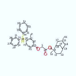 Cc1cc(OCC(=O)OC2(C)CCC3CC(C)CC2C3)ccc1[SH](c1ccccc1)c1ccccc1